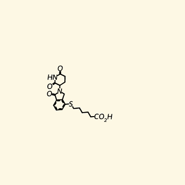 O=C(O)CCCCCSc1cccc2c1CN(C1CCC(=O)NC1=O)C2=O